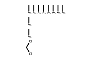 CC(C)=O.CC(C)=O.CC(C)=O.CC(C)=O.CC(C)=O.CC(C)=O.CC(C)=O.CC(C)=O.CC(C)=O.CC(C)=O.ClCCl